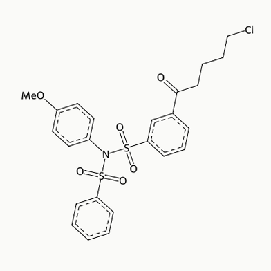 COc1ccc(N(S(=O)(=O)c2ccccc2)S(=O)(=O)c2cccc(C(=O)CCCCCl)c2)cc1